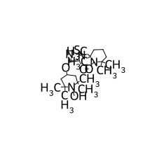 CC1(C)CC(Oc2nsnc2OON2C(C)(C)CCCC2(C)C)CC(C)(C)N1O